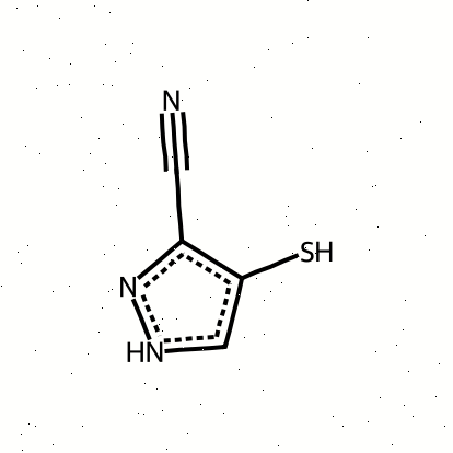 N#Cc1n[nH]cc1S